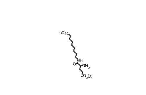 CCCCCCCCCCCCCCCCCCNC(=O)C(N)CCC(=O)OCC